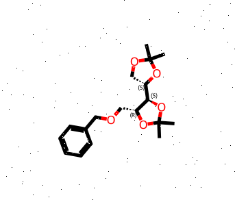 CC1(C)OC[C@@H]([C@H]2OC(C)(C)O[C@@H]2COCc2ccccc2)O1